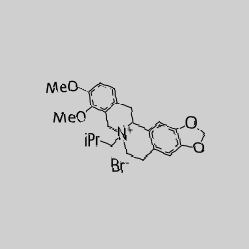 COc1ccc2c(c1OC)C[N+]1(CC(C)C)CCc3cc4c(cc3C1C2)OCO4.[Br-]